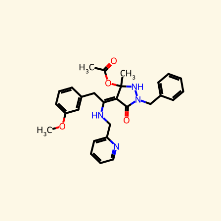 COc1cccc(CC(NCc2ccccn2)=C2C(=O)N(Cc3ccccc3)NC2(C)OC(C)=O)c1